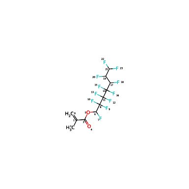 C=C(C)C(=O)OC(F)C(F)(F)C(F)(F)C(F)(F)C(F)C(F)C(F)F